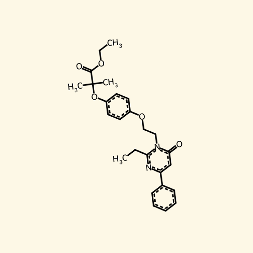 CCOC(=O)C(C)(C)Oc1ccc(OCCn2c(CC)nc(-c3ccccc3)cc2=O)cc1